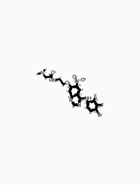 CN(C)CC(=O)NCCOc1cc2ncnc(Nc3ccc(Br)c(F)c3F)c2cc1[N+](=O)[O-]